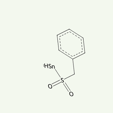 O=[S](=O)([SnH])Cc1ccccc1